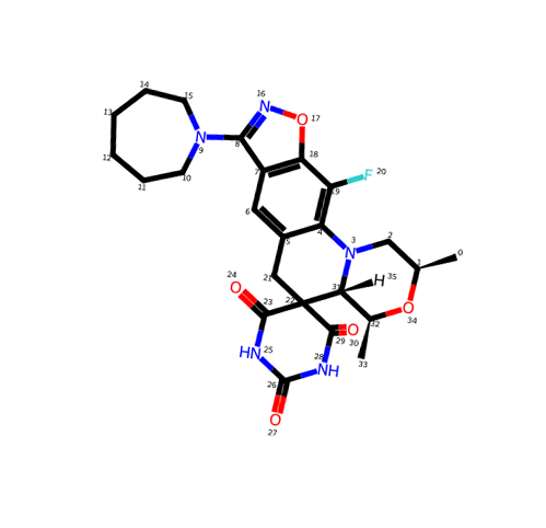 C[C@@H]1CN2c3c(cc4c(N5CCCCCC5)noc4c3F)CC3(C(=O)NC(=O)NC3=O)[C@H]2[C@H](C)O1